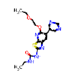 CCNC(=O)Nc1nc2cc(-c3cncnc3)c(OCCOCC)nc2s1